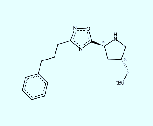 CC(C)(C)O[C@H]1CN[C@H](c2nc(CCCc3ccccc3)no2)C1